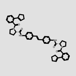 O=C(Nc1ccc(/C=C/c2ccc(NC(=O)[C@@H]3CCCN3C(=O)c3ccccc3C3=CCCC3)cc2)cc1)[C@@H]1CCCN1C(=O)c1ccccc1C1=CCCC1